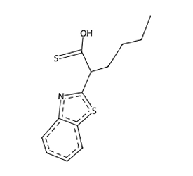 CCCCC(C(O)=S)c1nc2ccccc2s1